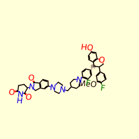 COc1cc(C2COc3cc(O)ccc3[C@H]2c2ccc(N3CCC(CN4CCN(c5ccc6c(c5)CN(C5CCC(=O)NC5=O)C6=O)CC4)CC3)c(F)c2)ccc1F